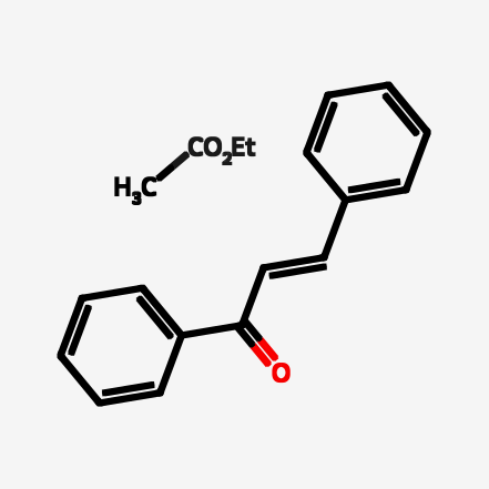 CCOC(C)=O.O=C(C=Cc1ccccc1)c1ccccc1